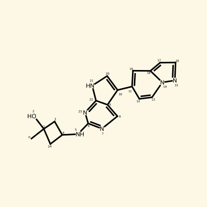 CC1(O)CC(Nc2ncc3c(-c4ccn5nccc5c4)c[nH]c3n2)C1